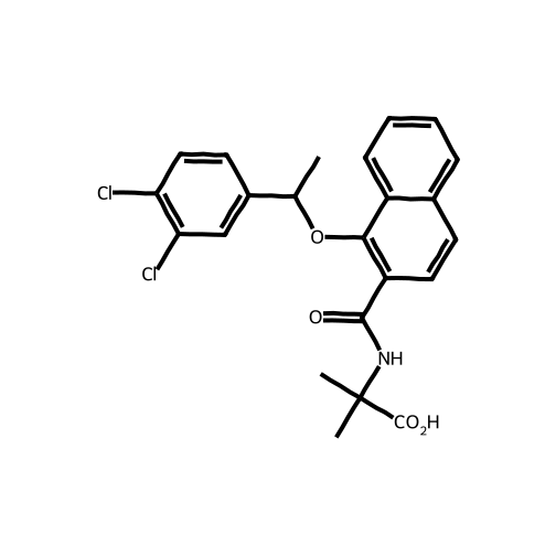 CC(Oc1c(C(=O)NC(C)(C)C(=O)O)ccc2ccccc12)c1ccc(Cl)c(Cl)c1